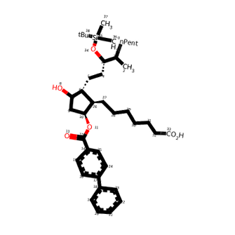 CCCCCC(C)[C@H](CC[C@H]1C(O)C[C@H](OC(=O)c2ccc(-c3ccccc3)cc2)[C@@H]1CCCCCCC(=O)O)O[Si](C)(C)C(C)(C)C